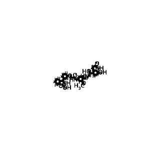 COc1cc(NC(=O)COc2cccc(C(NC(=O)O)c3ccccc3)c2)ccc1CNCC(O)c1ccc(O)c2[nH]c(=O)ccc12